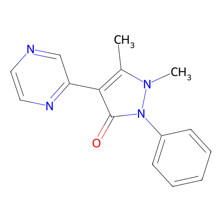 Cc1c(-c2cnccn2)c(=O)n(-c2ccccc2)n1C